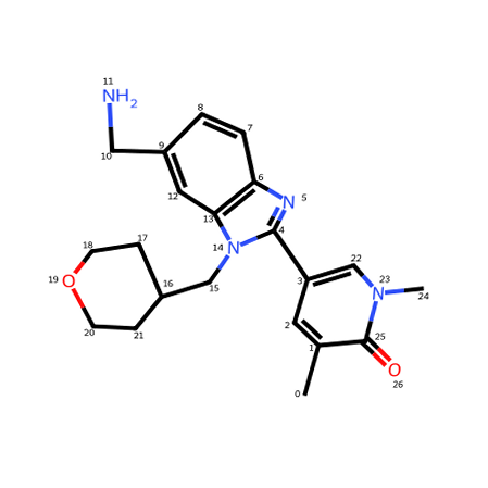 Cc1cc(-c2nc3ccc(CN)cc3n2CC2CCOCC2)cn(C)c1=O